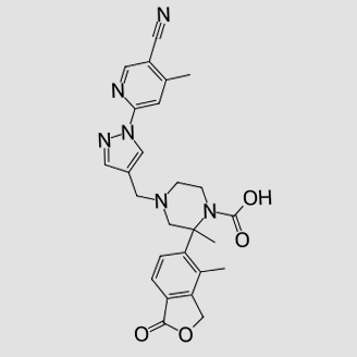 Cc1cc(-n2cc(CN3CCN(C(=O)O)C(C)(c4ccc5c(c4C)COC5=O)C3)cn2)ncc1C#N